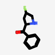 O=C(c1[c]cccc1)C1CC(F)CN1